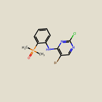 CP(C)(=O)c1ccccc1Nc1nc(Cl)ncc1Br